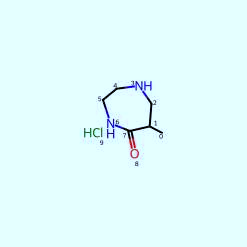 CC1CNCCNC1=O.Cl